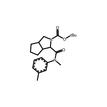 Cc1cccc(N(C)C(=O)C2C3CCCC3CN2C(=O)OC(C)(C)C)c1